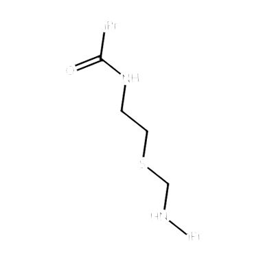 CC(C)NCSCCNC(=O)C(C)C